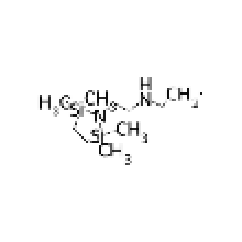 [CH2]CNCCN1[Si](C)(C)CC[Si]1(C)C